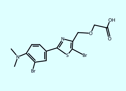 CN(C)c1ccc(-c2nc(COCC(=O)O)c(Br)s2)cc1Br